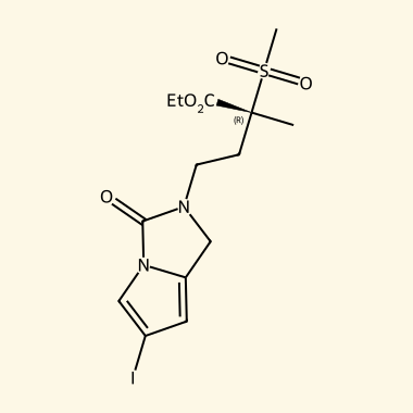 CCOC(=O)[C@@](C)(CCN1Cc2cc(I)cn2C1=O)S(C)(=O)=O